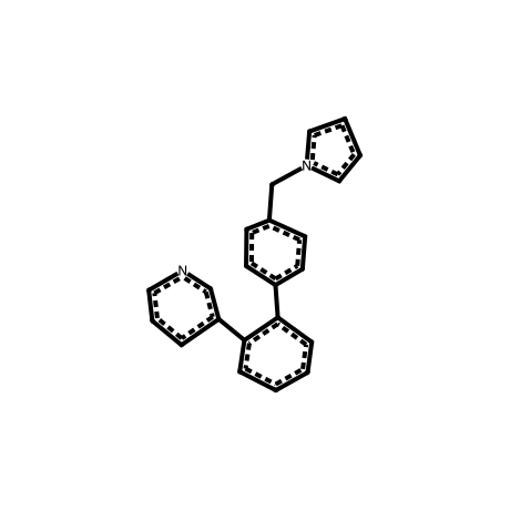 c1cncc(-c2ccccc2-c2ccc(Cn3cccc3)cc2)c1